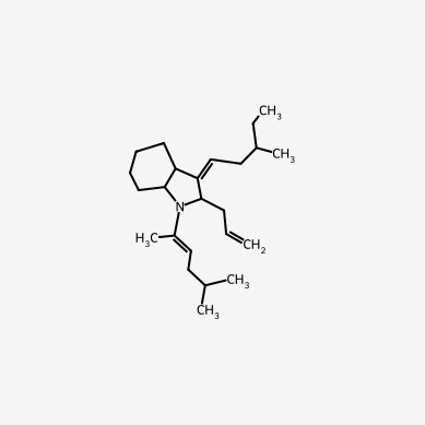 C=CCC1/C(=C\CC(C)CC)C2CCCCC2N1/C(C)=C/CC(C)C